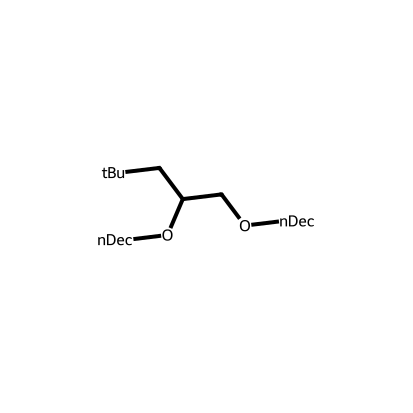 CCCCCCCCCCOCC(CC(C)(C)C)OCCCCCCCCCC